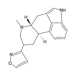 CN1CC(c2ccon2)C[C@@H]2c3cccc4[nH]cc(c34)C[C@H]21